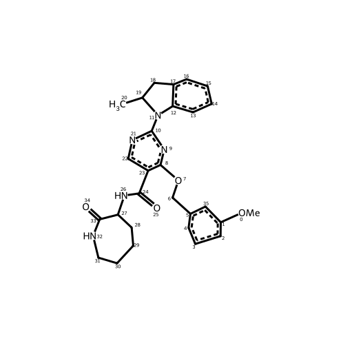 COc1cccc(COc2nc(N3c4ccccc4CC3C)ncc2C(=O)NC2CCCCNC2=O)c1